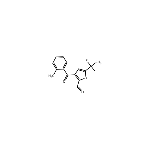 Cc1ccccc1C(=O)c1cc(C(C)(F)F)oc1C=O